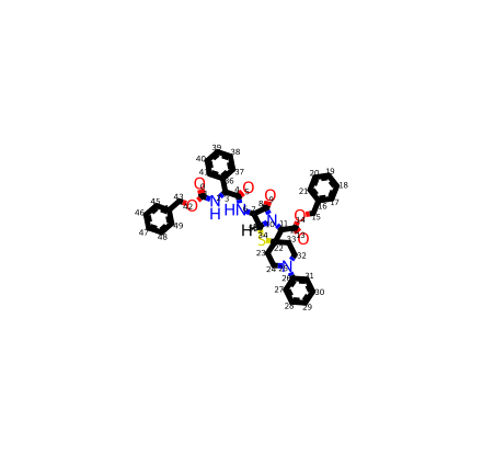 O=C(NC(C(=O)NC1C(=O)N2C(C(=O)OCc3ccccc3)C3(CCN(c4ccccc4)CC3)S[C@@H]12)c1ccccc1)OCc1ccccc1